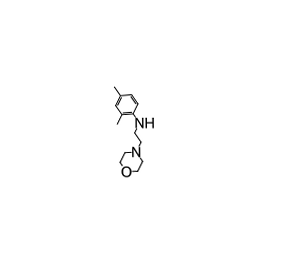 Cc1ccc(NCCN2CCOCC2)c(C)c1